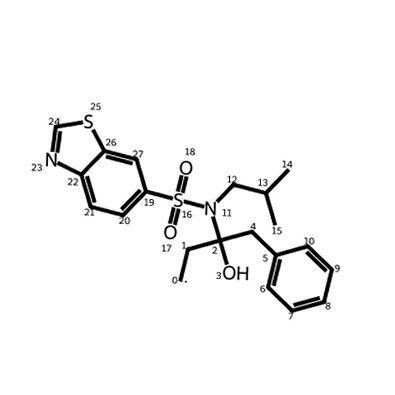 [CH2]CC(O)(Cc1ccccc1)N(CC(C)C)S(=O)(=O)c1ccc2ncsc2c1